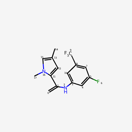 C=C(Nc1cc(F)cc(C(F)(F)F)c1)c1cc(C)cn1C